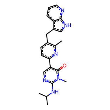 Cc1nc(-c2cnc(NC(C)C)n(C)c2=O)ccc1Cc1c[nH]c2ncccc12